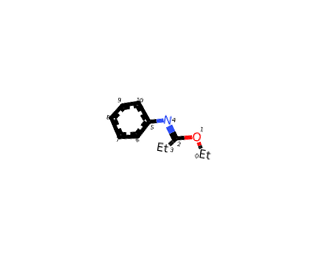 CCO/C(CC)=N/c1ccccc1